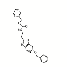 O=C(NCCc1nc2cnc(OCc3ccccc3)cc2o1)OCc1ccccc1